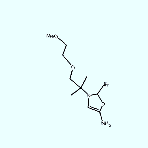 COCCOCC(C)(C)N1C=C(N)OC1C(C)C